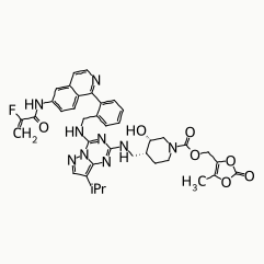 C=C(F)C(=O)Nc1ccc2c(-c3ccccc3CNc3nc(NC[C@H]4CCN(C(=O)OCc5oc(=O)oc5C)C[C@H]4O)nc4c(C(C)C)cnn34)nccc2c1